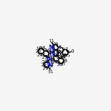 Cc1cc(C)c(B2c3ccc(C)nc3N3c4cc5ccccc5cc4N(c4cccc(C)n4)c4cc5ccccc5c2c43)c(C)c1